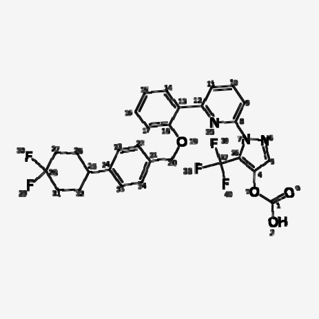 O=C(O)Oc1cnn(-c2cccc(-c3ccccc3OCc3ccc(C4CCC(F)(F)CC4)cc3)n2)c1C(F)(F)F